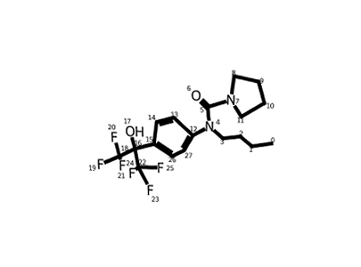 CCCCN(C(=O)N1CCCC1)c1ccc(C(O)(C(F)(F)F)C(F)(F)F)cc1